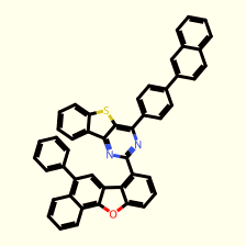 c1ccc(-c2cc3c(oc4cccc(-c5nc(-c6ccc(-c7ccc8ccccc8c7)cc6)c6sc7ccccc7c6n5)c43)c3ccccc23)cc1